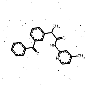 Cc1ccnc(NC(=O)C(C)c2cccc(C(=O)c3ccccc3)c2)c1